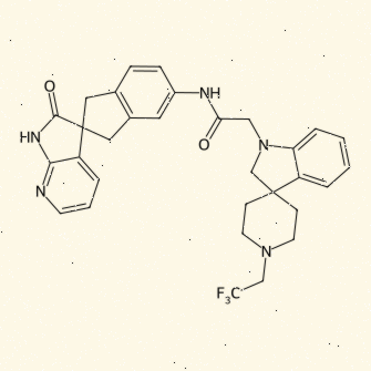 O=C(CN1CC2(CCN(CC(F)(F)F)CC2)c2ccccc21)Nc1ccc2c(c1)CC1(C2)C(=O)Nc2ncccc21